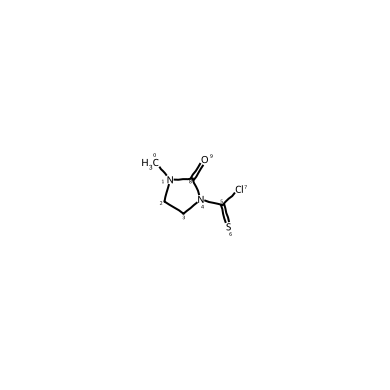 CN1CCN(C(=S)Cl)C1=O